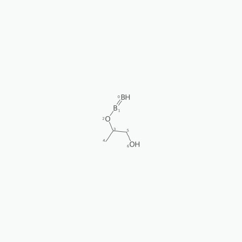 B=BOC(C)CO